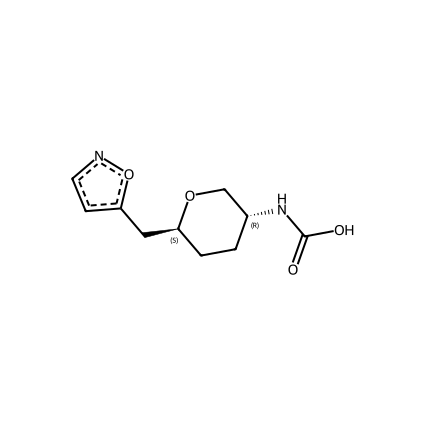 O=C(O)N[C@@H]1CC[C@@H](Cc2ccno2)OC1